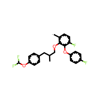 [CH2]c1ccc(F)c(Oc2ccc(F)cc2)c1OCC(C)Cc1ccc(OC(F)F)cc1